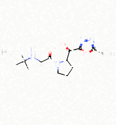 CC(C)(NCC(=O)N1C[C@@H](F)CC1C(=O)c1nnc(C(C)(C)C)o1)C(=O)O